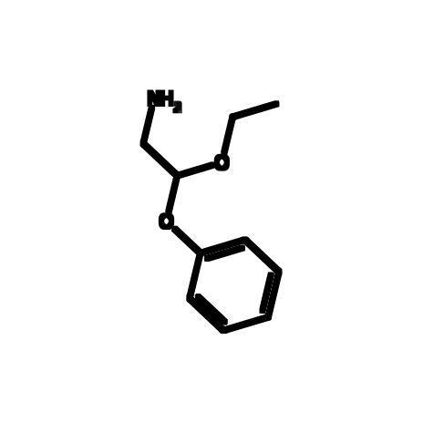 CCOC(CN)Oc1ccccc1